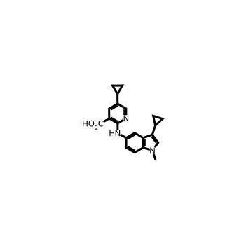 Cn1cc(C2CC2)c2cc(Nc3ncc(C4CC4)cc3C(=O)O)ccc21